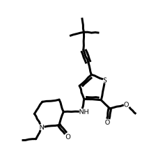 CCN1CCCC(Nc2cc(C#CC(C)(C)C)sc2C(=O)OC)C1=O